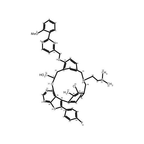 COc1ccccc1-c1nccc(COc2ccc3cc2CC(C(=O)O)Oc2ncnc4sc(-c5ccc(F)cc5)c(c24)-c2ccc(c(Cl)c2C)CN(CCN(C)C)C3)n1